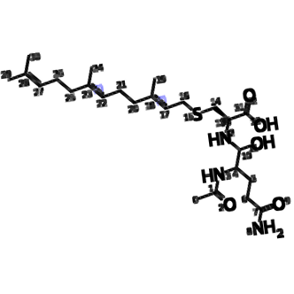 CC(=O)NC(CCC(N)=O)C(O)N[C@@H](CSC/C=C(\C)CC/C=C(\C)CCC=C(C)C)C(=O)O